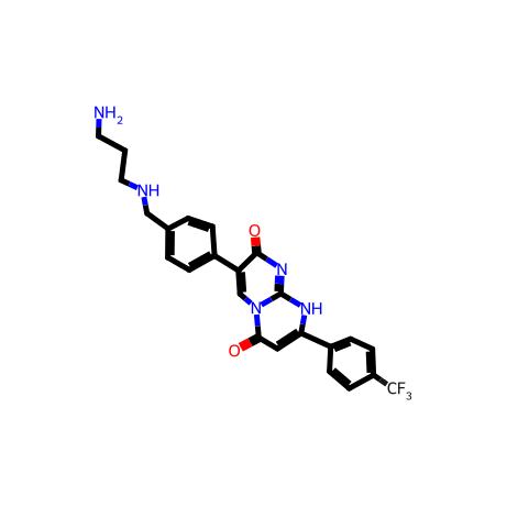 NCCCNCc1ccc(-c2cn3c(=O)cc(-c4ccc(C(F)(F)F)cc4)[nH]c3nc2=O)cc1